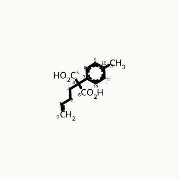 C=CCCC(C(=O)O)(C(=O)O)c1ccc(C)cc1